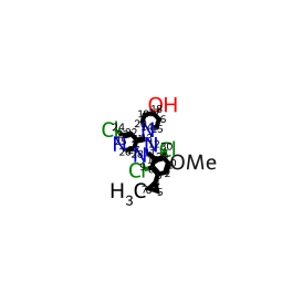 COc1cc(C2C[C@@H]2C)c(Cl)c(-c2nc(N3CCC(O)CC3)c3cc(Cl)ncc3n2)c1Cl